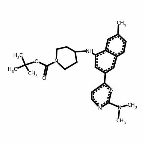 Cc1ccc2cc(-c3ccnc(N(C)C)n3)cc(NC3CCN(C(=O)OC(C)(C)C)CC3)c2c1